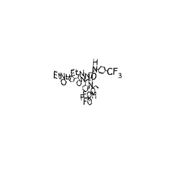 C=CC(=O)Nc1ccccc1-c1c(C)n(CC(=O)Nc2ccc(C(F)(F)F)cc2)c2nc(CC)c(-c3ccc(C(=O)NCC)cc3)c(=O)n12.O=C(O)C(F)(F)F